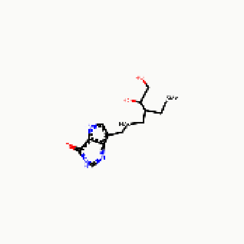 CSCC(C[AsH]Cc1c[nH]c2c(=O)[nH]cnc12)C(O)CO